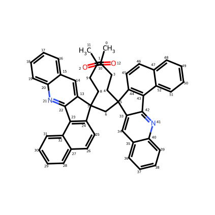 CC(=O)CCC1(CC2(CCC(C)=O)c3cc4ccccc4nc3-c3c2ccc2ccccc32)c2cc3ccccc3nc2-c2c1ccc1ccccc21